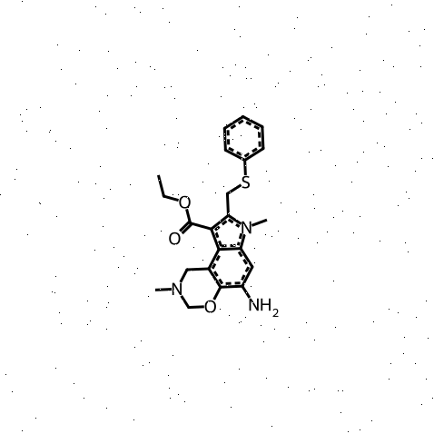 CCOC(=O)c1c(CSc2ccccc2)n(C)c2cc(N)c3c(c12)CN(C)CO3